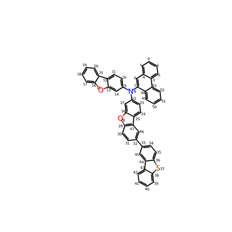 c1ccc2c(c1)cc(N(c1ccc3c(c1)oc1ccccc13)c1ccc3c(c1)oc1ccc(-c4ccc5sc6ccccc6c5c4)cc13)c1ccccc12